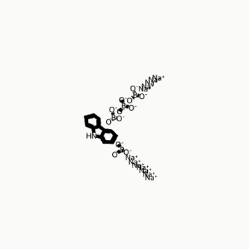 [Na+].[Na+].[Na+].[Na+].[Na+].[Na+].[Na+].[Na+].[Na+].[Na+].[Na+].[Na+].[O-]B([O-])[O-].[O-]B([O-])[O-].[O-]B([O-])[O-].[O-]B([O-])[O-].c1ccc2c(c1)[nH]c1ccccc12